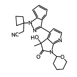 CC1(O)C(=O)N(C2CCCCO2)c2nccc(-c3nn(C4(CC#N)CCC4)c4ccccc34)c21